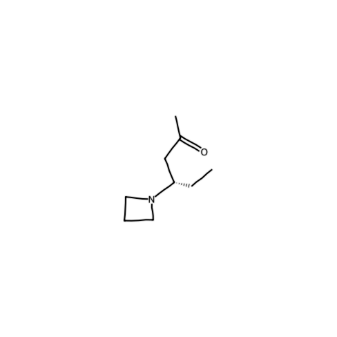 CC[C@@H](CC(C)=O)N1CCC1